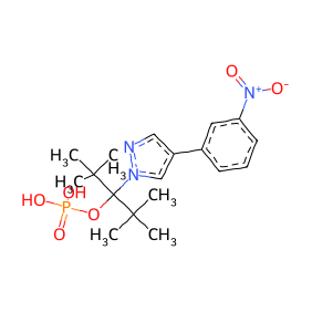 CC(C)(C)C(OP(=O)(O)O)(n1cc(-c2cccc([N+](=O)[O-])c2)cn1)C(C)(C)C